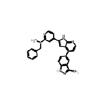 CN(Cc1ccccc1)c1cc(-c2cc3c(-c4ccc5[nH]nc(N)c5c4)ccnc3[nH]2)ccn1